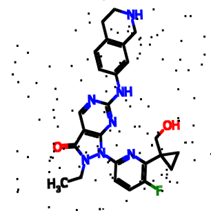 CCn1c(=O)c2cnc(Nc3ccc4c(c3)CNCC4)nc2n1-c1ccc(F)c(C2(CO)CC2)n1